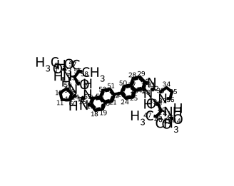 COC(=O)N[C@H](C(=O)N1[C@@H]2CC[C@@H](C2)[C@H]1c1nc2ccc3cc(-c4ccc5c(ccc6nc([C@@H]7CCCN7C(=O)[C@@H](NC(=O)O)C(C)C)[nH]c65)c4)ccc3c2[nH]1)C(C)C